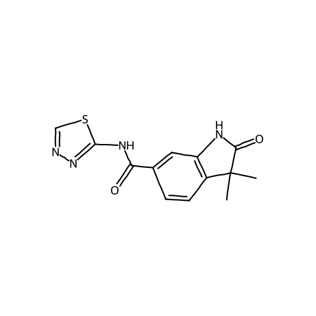 CC1(C)C(=O)Nc2cc(C(=O)Nc3nncs3)ccc21